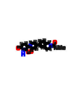 CNC(=O)N1CCc2cc(-c3ccn(C4CCC(=O)NC4=O)c(=O)c3)ccc2C1